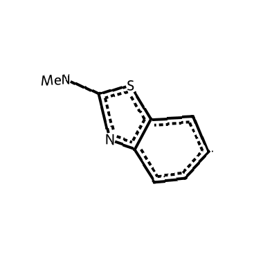 CNc1nc2cc[c]cc2s1